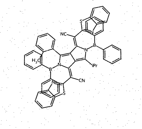 Cc1ccccc1-c1c2/c(=C(\C#N)c3nc4ccccc4s3)n(B(c3ccccc3)c3ccccc3)c(C(C)C)c2/c(=C(\C#N)c2nc3ccccc3s2)n1B(c1ccccc1)c1ccccc1